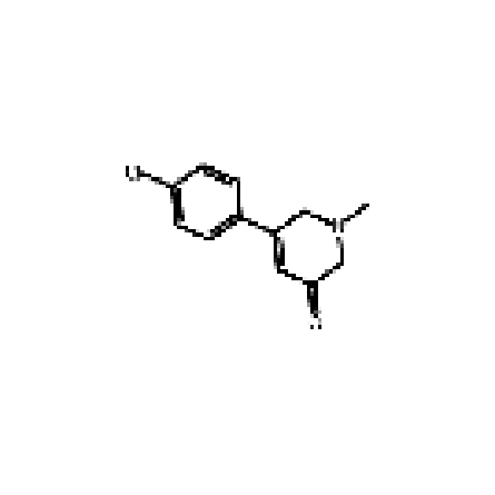 CN1CC(=O)C=C(c2ccc(Cl)cc2)C1